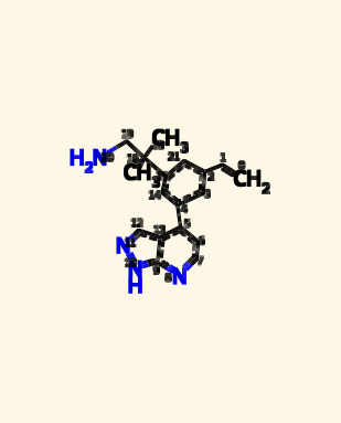 C=Cc1cc(-c2ccnc3[nH]ncc23)cc(C(C)(C)CN)c1